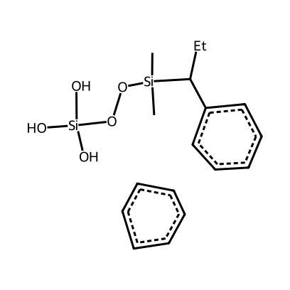 CCC(c1ccccc1)[Si](C)(C)OO[Si](O)(O)O.c1ccccc1